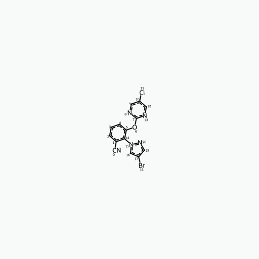 N#Cc1cccc(Oc2ncc(Cl)cn2)c1-n1cc(Br)cn1